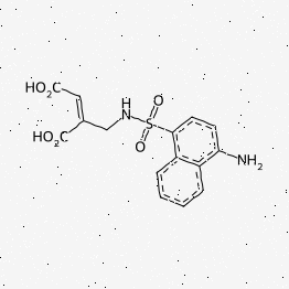 Nc1ccc(S(=O)(=O)NCC(=CC(=O)O)C(=O)O)c2ccccc12